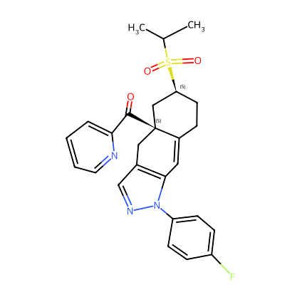 CC(C)S(=O)(=O)[C@H]1CCC2=Cc3c(cnn3-c3ccc(F)cc3)C[C@]2(C(=O)c2ccccn2)C1